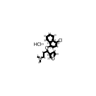 CN(C)CCC(Oc1ccc(Cl)c2ccccc12)c1ccoc1.Cl